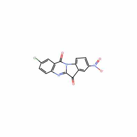 O=C1c2cc([N+](=O)[O-])ccc2-n2c1nc1ccc(Cl)cc1c2=O